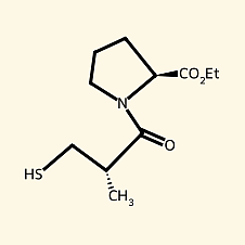 CCOC(=O)[C@@H]1CCCN1C(=O)[C@H](C)CS